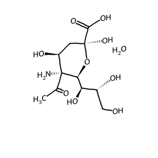 CC(=O)[C@@]1(N)[C@@H](O)C[C@@](O)(C(=O)O)O[C@H]1[C@H](O)[C@H](O)CO.O